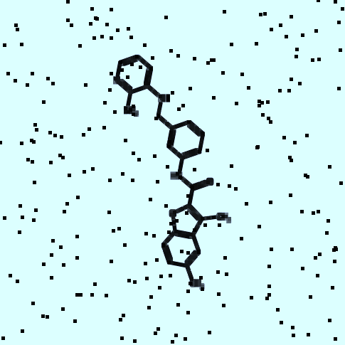 Cc1ccc2oc(C(=O)Nc3cccc(CNc4cccnc4N)c3)c(C)c2c1